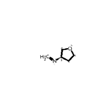 C=N[C@@H]1CCOC1